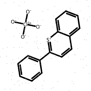 [O-][Cl+3]([O-])([O-])[O-].c1ccc(-c2ccc3ccccc3[s+]2)cc1